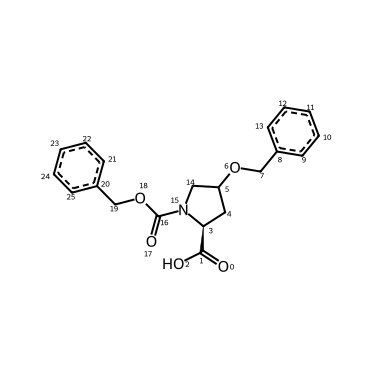 O=C(O)[C@@H]1CC(OCc2ccccc2)CN1C(=O)OCc1ccccc1